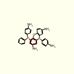 Nc1ccc(P(c2ccccc2)c2cc(N)ccc2Oc2ccc(N)cc2P(c2ccccc2)c2ccc(N)cc2)cc1